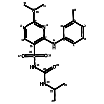 Cc1cccc(Nc2nc(N(C)C)ncc2S(=O)(=O)NC(=O)NC(C)C)c1